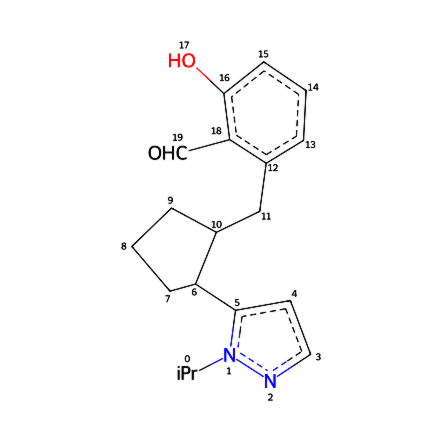 CC(C)n1nccc1C1CCCC1Cc1cccc(O)c1C=O